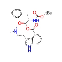 CN(C)CCc1c[nH]c2cccc(C(=O)OC(=O)[C@H](Cc3ccccc3)NC(=O)OC(C)(C)C)c12